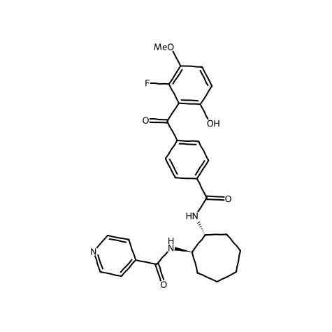 COc1ccc(O)c(C(=O)c2ccc(C(=O)N[C@@H]3CCCCC[C@H]3NC(=O)c3ccncc3)cc2)c1F